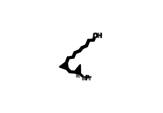 CCC[C@@H]1CC1CC1CC1CCCCCCCCO